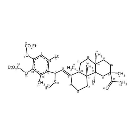 CCOC(=O)Oc1cc(CC)c(C(/C=C2\CCC[C@@]3(C)[C@@H]4C[C@](C)(C(N)=O)CC[C@]4(C)CC[C@]23C)SC(C)C)c(C)c1OC(=O)OCC